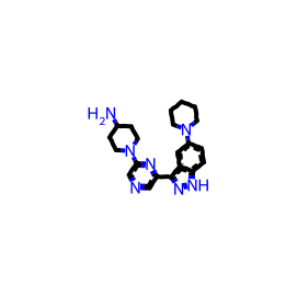 NC1CCN(c2cncc(-c3n[nH]c4ccc(N5CCCCC5)cc34)n2)CC1